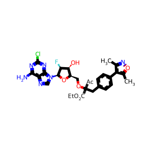 CCOC(=O)C(Cc1ccc(-c2c(C)noc2C)cc1)(OC[C@H]1O[C@@H](n2cnc3c(N)nc(Cl)nc32)[C@@H](F)[C@@H]1O)C(C)=O